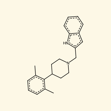 Cc1cccc(C)c1C1CCN(Cc2cc3ccccc3[nH]2)CC1